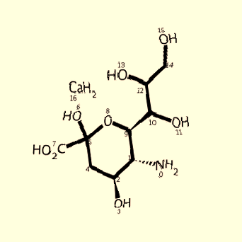 N[C@@H]1[C@@H](O)CC(O)(C(=O)O)O[C@H]1C(O)C(O)CO.[CaH2]